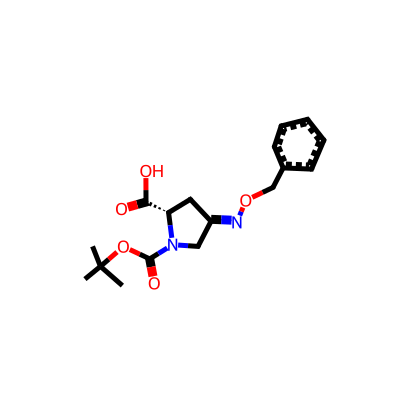 CC(C)(C)OC(=O)N1C/C(=N/OCc2ccccc2)C[C@H]1C(=O)O